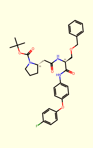 CC(C)(C)OC(=O)N1CCC[C@H]1CC(=O)N[C@@H](COCc1ccccc1)C(=O)Nc1ccc(Oc2ccc(F)cc2)cc1